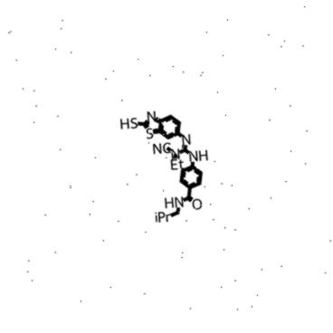 CCN(C#N)C(=Nc1ccc2nc(S)sc2c1)Nc1ccc(C(=O)NCC(C)C)cc1